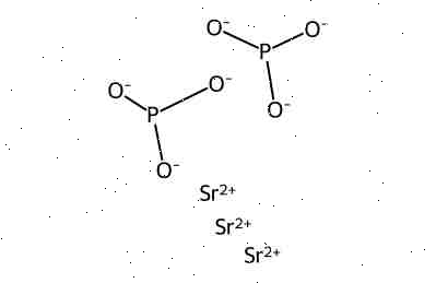 [O-]P([O-])[O-].[O-]P([O-])[O-].[Sr+2].[Sr+2].[Sr+2]